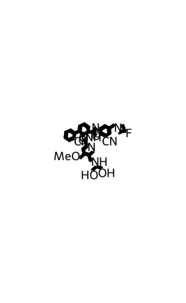 COCc1cc(C(=O)NC2(c3nc4cc(CN5CC(F)C5)cc(C#N)c4o3)C=CC=C(c3ccccc3Cl)C2Cl)ncc1CNC(CO)CO